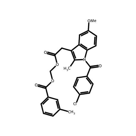 COc1ccc2c(c1)c(CC(=O)OCOC(=O)c1cccc(C)c1)c(C)n2C(=O)c1ccc(Cl)cc1